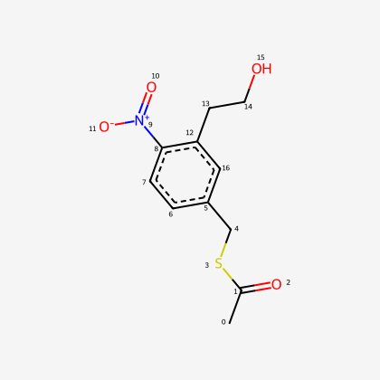 CC(=O)SCc1ccc([N+](=O)[O-])c(CCO)c1